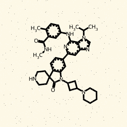 CNC(=O)c1cc(Nc2nc(-c3ccc4c(c3)N(C3CC(N5CCCCC5)C3)C(=O)C43CCNCC3)cc3ncn(C(C)C)c23)ccc1C